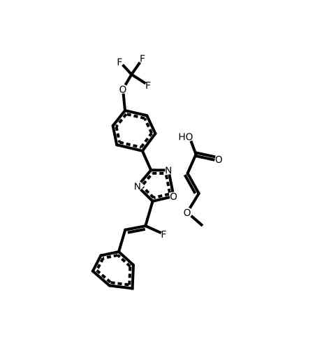 COC=CC(=O)O.FC(=Cc1ccccc1)c1nc(-c2ccc(OC(F)(F)F)cc2)no1